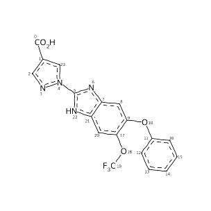 O=C(O)c1cnn(-c2nc3cc(Oc4ccccc4)c(OC(F)(F)F)cc3[nH]2)c1